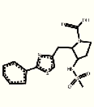 CS(=O)(=O)NC1CCN(C(=O)O)C1Cc1csc(-c2ccccc2)n1